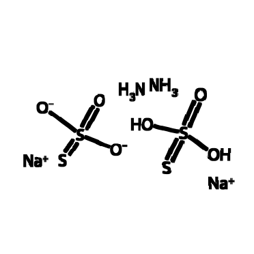 N.N.O=S(O)(O)=S.O=S([O-])([O-])=S.[Na+].[Na+]